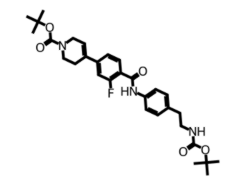 CC(C)(C)OC(=O)NCCc1ccc(NC(=O)c2ccc(C3=CCN(C(=O)OC(C)(C)C)CC3)cc2F)cc1